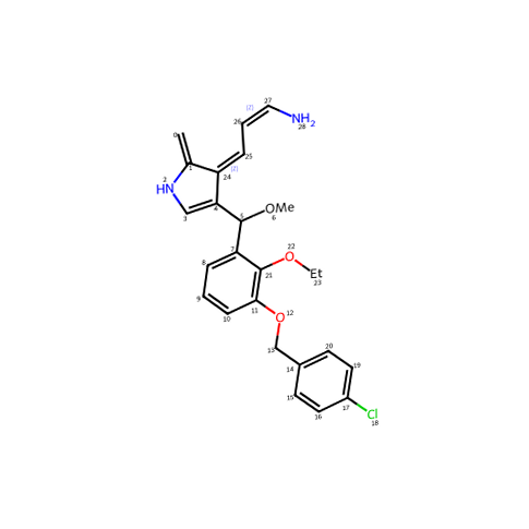 C=c1[nH]cc(C(OC)c2cccc(OCc3ccc(Cl)cc3)c2OCC)/c1=C/C=C\N